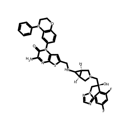 Nc1nc2sc(CNC3[C@H]4CN(C[C@@](O)(Cn5cncn5)c5ccc(F)cc5F)C[C@@H]34)cc2n(-c2ccc3c(c2)N(c2ccccc2)CCO3)c1=O